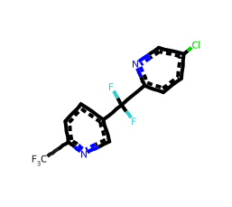 FC(F)(F)c1ccc(C(F)(F)c2ccc(Cl)cn2)cn1